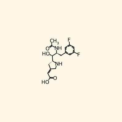 CC(=O)N[C@@H](Cc1cc(F)cc(F)c1)[C@H](O)[C@H]1C/C(=C/C(=O)O)CN1